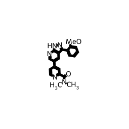 COc1ccccc1-c1n[nH]c2ncc(-c3ccnc(C(=O)N(C)C)c3)cc12